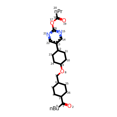 CCCCC(=O)C1CCC(COC2CCC(c3cnc(OC(=O)CCC)nc3)CC2)CC1